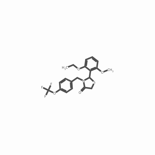 CCOc1cccc(OC)c1C1SCC(=O)N1Cc1ccc(OC(F)(F)F)cc1